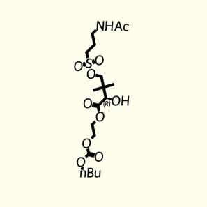 CCCCOC(=O)OCCOC(=O)[C@H](O)C(C)(C)COS(=O)(=O)CCCNC(C)=O